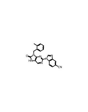 Cc1ccccc1Cn1c(=O)[nH]c2cnc(-n3cnc4cc(C#N)ccc43)nc21